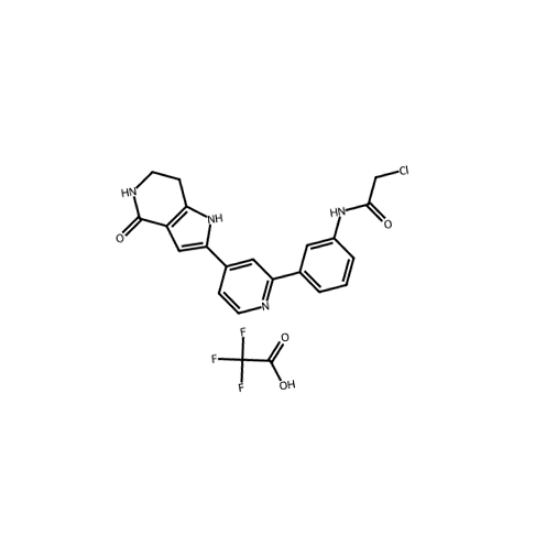 O=C(CCl)Nc1cccc(-c2cc(-c3cc4c([nH]3)CCNC4=O)ccn2)c1.O=C(O)C(F)(F)F